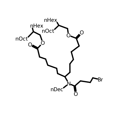 CCCCCCCCCCN(C(=O)CCCBr)C(CCCCCC(=O)OCC(CCCCCC)CCCCCCCC)CCCCCC(=O)OCC(CCCCCC)CCCCCCCC